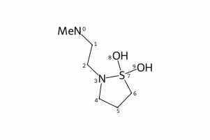 CNCCN1CCCS1(O)O